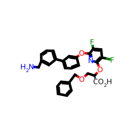 NCc1cccc(-c2cccc(Oc3nc(O[C@H](COCc4ccccc4)C(=O)O)c(F)cc3F)c2)c1